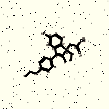 CCSc1ccc(C2=C(C)[N+](CC)(CC(=O)O)c3ccc(F)cc32)cc1